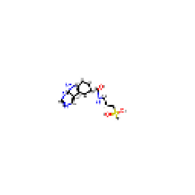 CS(=O)(=O)CCCNC(=O)C1CCc2[nH]c3ncncc3c2C1